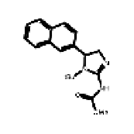 COC(=O)NC1=NCC(c2ccc3ccccc3c2)N1C(C)(C)C